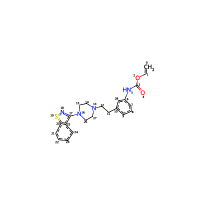 C=COC(=O)Nc1cccc(CCN2CCN(c3nsc4ccccc34)CC2)c1